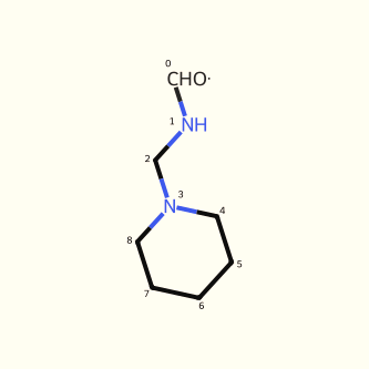 O=[C]NCN1CCCCC1